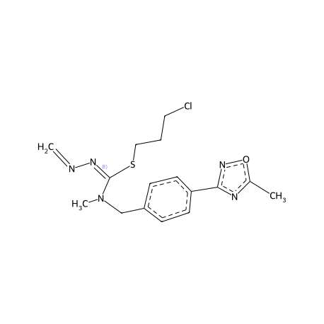 C=N/N=C(/SCCCCl)N(C)Cc1ccc(-c2noc(C)n2)cc1